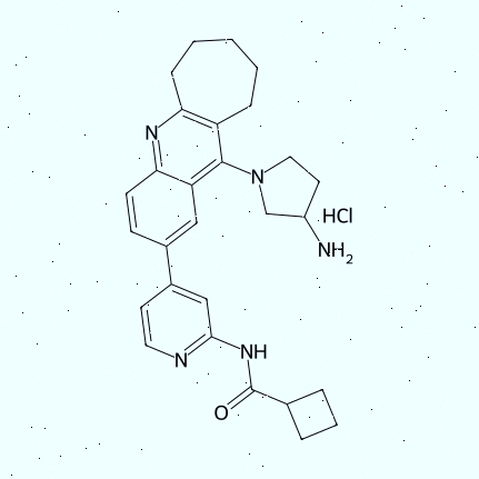 Cl.NC1CCN(c2c3c(nc4ccc(-c5ccnc(NC(=O)C6CCC6)c5)cc24)CCCCC3)C1